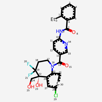 CCc1ccccc1C(=O)Nc1ccc(C(=O)N2CCC(F)(F)[C@](O)(CO)c3cc(Cl)ccc32)cn1